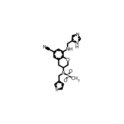 CS(=O)(=O)N(Cc1ccsc1)C1COc2c(cc(C#N)cc2NCc2cnc[nH]2)C1